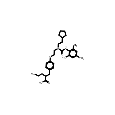 CCOC(Cc1ccc(OCCN(CCC2CCCC2)C(=O)Nc2c(C)cc(C)cc2C)cc1)C(=O)O